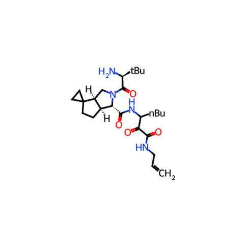 C=CCNC(=O)C(=O)C(CCCC)NC(=O)[C@@H]1[C@H]2CCC3(CC3)[C@H]2CN1C(=O)[C@@H](N)C(C)(C)C